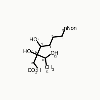 CCCCCCCCCCCCC(O)C(O)(CC(=O)O)C(C)O